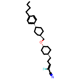 CCCCc1ccc([C@H]2CC[C@H](CO[C@H]3CC[C@H](CCC=C(F)C#N)CC3)CC2)cc1